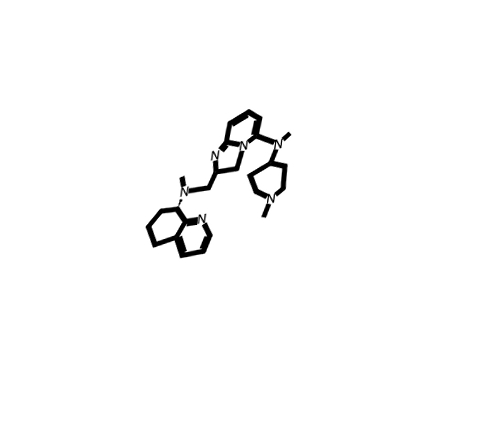 CN1CCC(N(C)C2=CC=CC3=NC(CN(C)[C@H]4CCCc5cccnc54)CN23)CC1